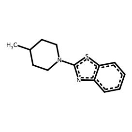 CC1CCN(c2nc3ccccc3s2)CC1